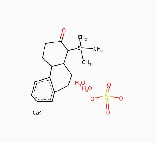 C[Si](C)(C)C1C(=O)CCC2c3ccccc3CCC21.O.O.O=S(=O)([O-])[O-].[Ca+2]